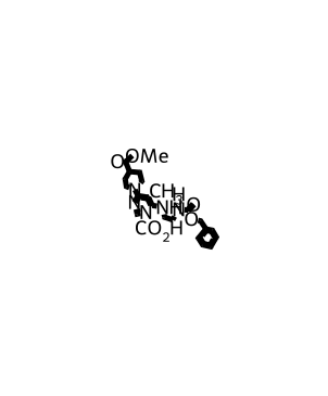 COC(=O)C1CCN(c2ncnc(NCC(NC(=O)OCc3ccccc3)C(=O)O)c2C)CC1